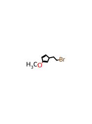 COC1=CC(CCBr)C=C1